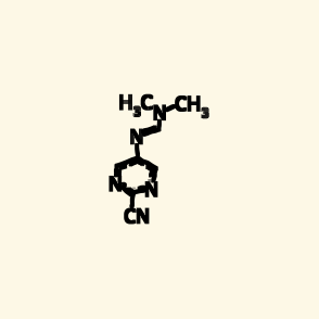 CN(C)C=Nc1cnc(C#N)nc1